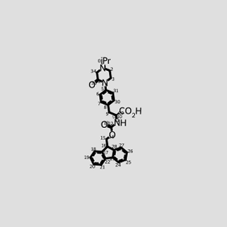 CC(C)N1CCN(c2ccc(C[C@H](NC(=O)OCC3c4ccccc4-c4ccccc43)C(=O)O)cc2)C(=O)C1